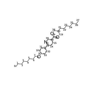 CCCCCCCCOc1ccc(-c2ccc(C3OCC(CCCCCCC)CO3)cn2)cc1